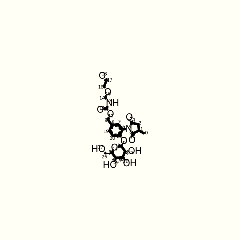 CC1CC(=O)N(c2cc(COC(=O)NCOCC=O)ccc2O[C@@H]2O[C@H](CO)[C@H](O)[C@H](O)[C@H]2O)C1=O